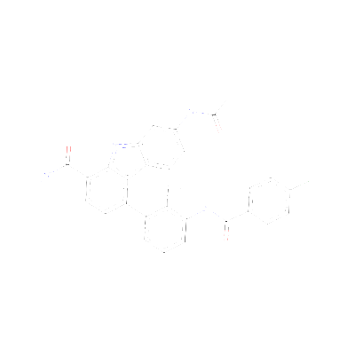 CCC(=O)Nc1ccc2c(c1)[nH]c1c(C(N)=O)ccc(-c3cccc(NC(=O)c4ccc(F)cc4)c3C)c12